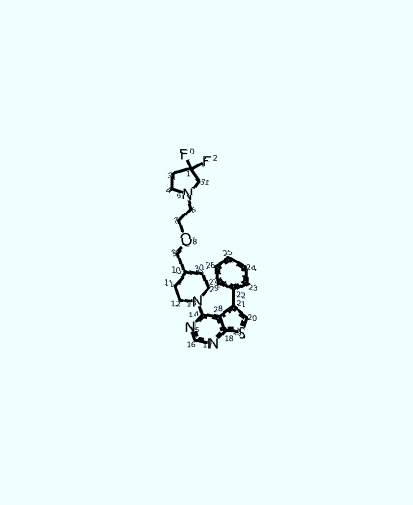 FC1(F)CCN(CCOCC2CCN(c3ncnc4scc(-c5ccccc5)c34)CC2)C1